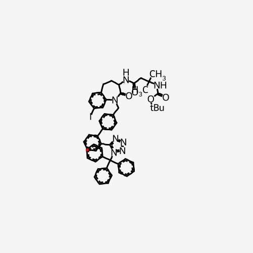 CC(C)(CC(=O)NC1CCc2ccc(I)cc2N(Cc2ccc(-c3ccccc3-c3nnnn3C(c3ccccc3)(c3ccccc3)c3ccccc3)cc2)C1=O)NC(=O)OC(C)(C)C